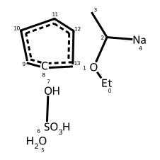 CCO[CH](C)[Na].O.O=S(=O)(O)O.c1ccccc1